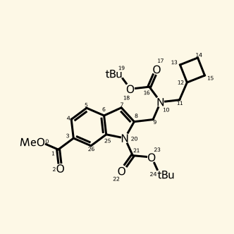 COC(=O)c1ccc2cc(CN(CC3CCC3)C(=O)OC(C)(C)C)n(C(=O)OC(C)(C)C)c2c1